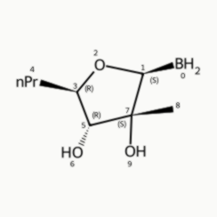 B[C@@H]1O[C@H](CCC)[C@@H](O)[C@@]1(C)O